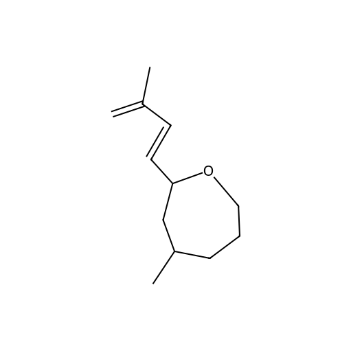 C=C(C)/C=C/C1CC(C)CCCO1